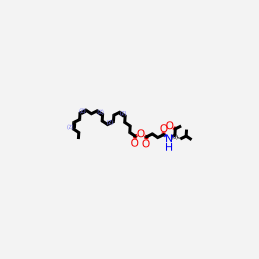 CC/C=C\C/C=C\C/C=C\C/C=C\C/C=C\CCCC(=O)OC(=O)CCC(=O)N[C@@H](CC(C)C)C(C)=O